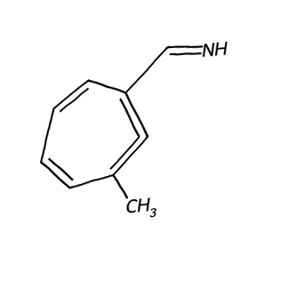 CC1=C=C(C=N)C=CC=C1